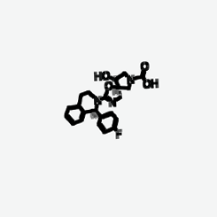 O=C(O)N1C[C@H](O)[C@@]2(CN=C(N3CCc4ccccc4[C@@H]3c3ccc(F)cc3)O2)C1